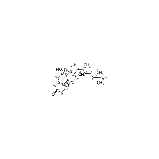 C[C@H](CCCC(C)(C)O)[C@H]1CC[C@H]2[C@@H]3C(O)CC4=CC(=O)CC[C@]4(C)[C@H]3CC[C@]12C